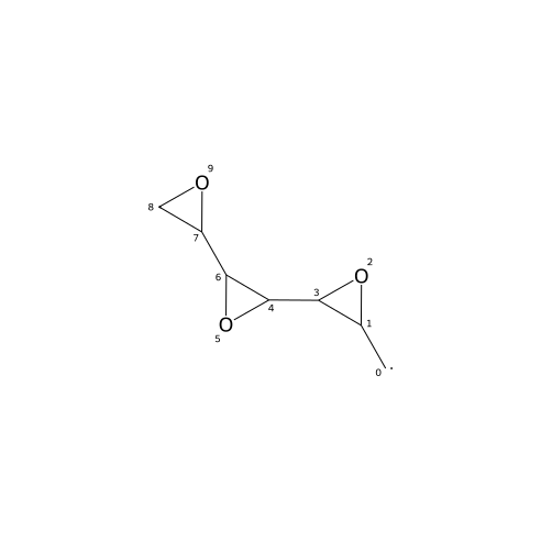 [CH2]C1OC1C1OC1C1CO1